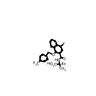 CC[C@@](C)(NC(=O)c1cc(F)c2ccccc2c1OCc1ccc(C(F)(F)F)cc1)C(=O)O